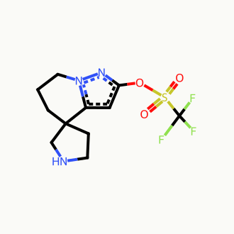 O=S(=O)(Oc1cc2n(n1)CCCC21CCNC1)C(F)(F)F